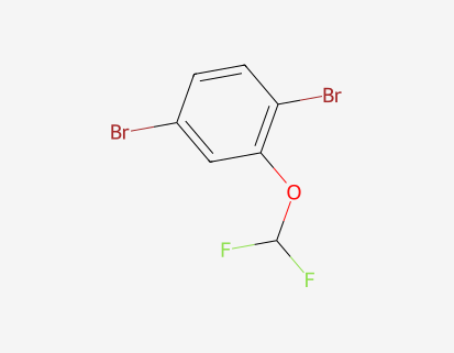 FC(F)Oc1cc(Br)ccc1Br